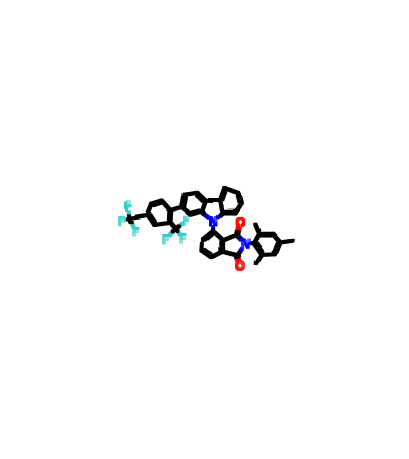 Cc1cc(C)c(N2C(=O)c3cccc(-n4c5ccccc5c5ccc(-c6ccc(C(F)(F)F)cc6C(F)(F)F)cc54)c3C2=O)c(C)c1